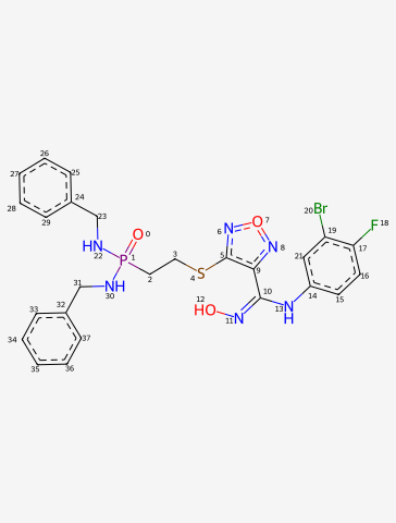 O=P(CCSc1nonc1/C(=N\O)Nc1ccc(F)c(Br)c1)(NCc1ccccc1)NCc1ccccc1